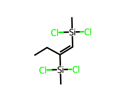 CCC(=C[Si](C)(Cl)Cl)[Si](C)(Cl)Cl